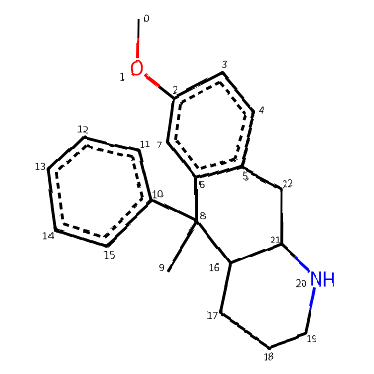 COc1ccc2c(c1)C(C)(c1ccccc1)C1CCCNC1C2